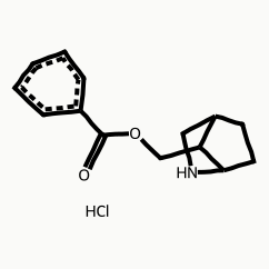 Cl.O=C(OCC1C2CCC1NC2)c1ccccc1